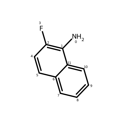 Nc1c(F)ccc2ccccc12